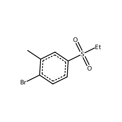 CCS(=O)(=O)c1ccc(Br)c(C)c1